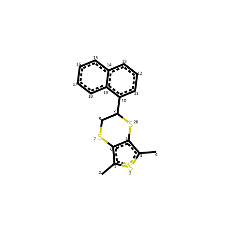 Cc1sc(C)c2c1SCC(c1cccc3ccccc13)S2